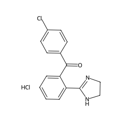 Cl.O=C(c1ccc(Cl)cc1)c1ccccc1C1=NCCN1